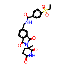 CCS(=O)(=O)c1ccc(C(=O)NCc2ccc3c(c2)C(=O)N(C2(C)CCC(=O)NC2=O)C3=O)cc1